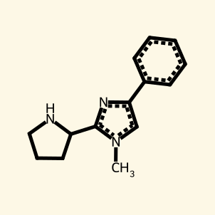 Cn1cc(-c2ccccc2)nc1C1CCCN1